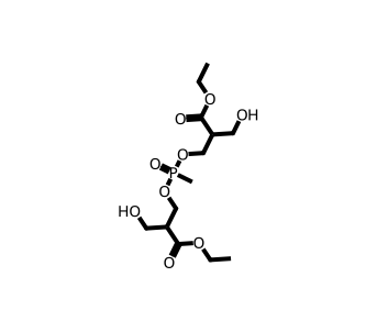 CCOC(=O)C(CO)COP(C)(=O)OCC(CO)C(=O)OCC